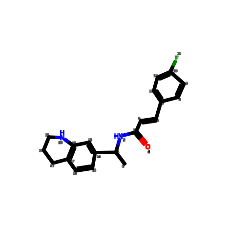 CC(NC(=O)/C=C/c1ccc(F)cc1)c1ccc2c(c1)NCCC2